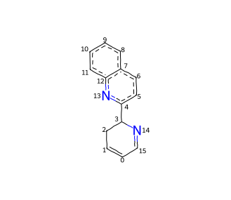 C1=CCC(c2ccc3ccccc3n2)N=C1